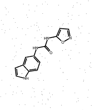 O=C(Nc1ccc2[nH]ccc2c1)Nc1ccno1